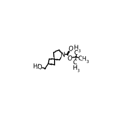 CC(C)(C)OC(=O)N1CCC2(CC(CO)C2)C1